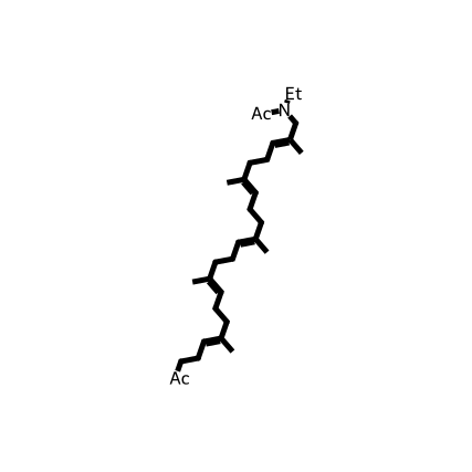 CCN(CC(C)=CCCC(C)=CCCC(C)=CCCC(C)=CCCC(C)=CCCC(C)=O)C(C)=O